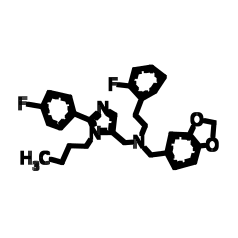 CCCCn1c(CN(CCc2ccccc2F)Cc2ccc3c(c2)OCO3)cnc1-c1ccc(F)cc1